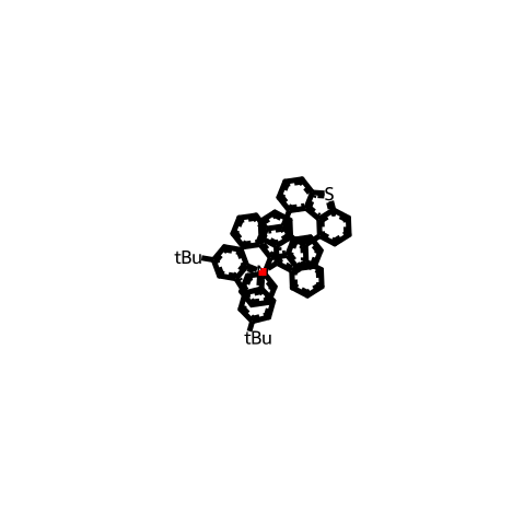 CC(C)(C)c1ccc2c(c1)c1cc(C(C)(C)C)ccc1n2-c1c2ccccc2c(-c2cccc3sc4cccc(-c5c6ccccc6c(-c6ccccc6)c6ccccc56)c4c23)c2ccccc12